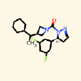 CC(C1CCCCC1)C1CN(C(=O)N2N=CC[C@H]2C2CC(F)CC(F)C2)C1